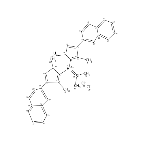 CC1=[C]([Hf+2]([C]2=C(C)C(c3ccc4ccccc4c3)=CC2C)=[Si](C)C)C(C)C=C1c1ccc2ccccc2c1.[Cl-].[Cl-]